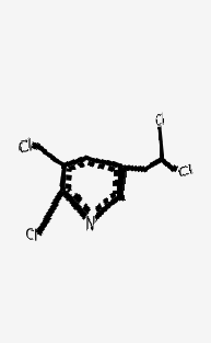 Clc1cc(C(Cl)Cl)cnc1Cl